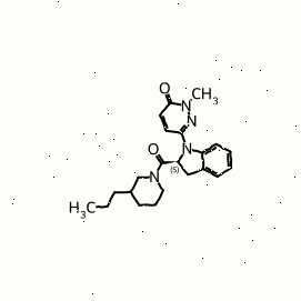 CCCC1CCCN(C(=O)[C@@H]2Cc3ccccc3N2c2ccc(=O)n(C)n2)C1